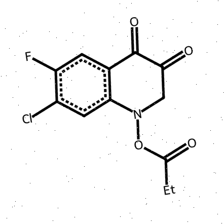 CCC(=O)ON1CC(=O)C(=O)c2cc(F)c(Cl)cc21